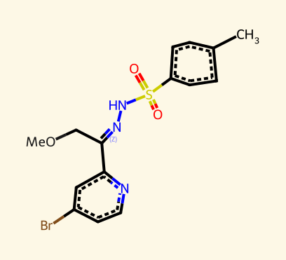 COC/C(=N\NS(=O)(=O)c1ccc(C)cc1)c1cc(Br)ccn1